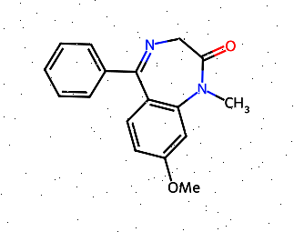 COc1ccc2c(c1)N(C)C(=O)CN=C2c1ccccc1